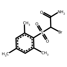 Cc1cc(C)c(S(=O)(=O)C(Br)C(N)=O)c(C)c1